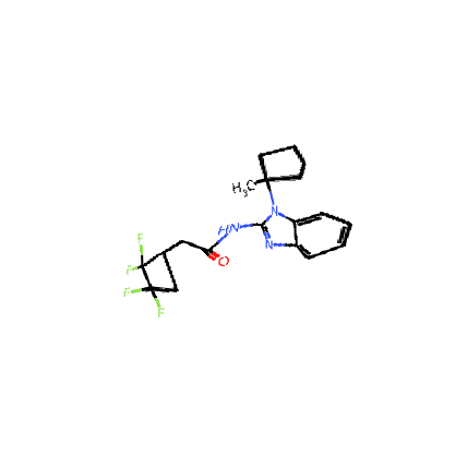 CC1(n2c(NC(=O)CC3CC(F)(F)C3(F)F)nc3ccccc32)CCC1